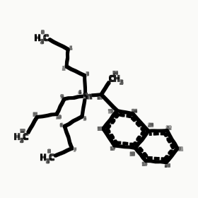 CCC[CH2][Sn]([CH2]CCC)([CH2]CCC)[CH](C)c1ccc2ccccc2c1